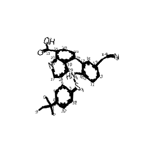 CC(C)(C)c1ccc(SNc2ccc(C#N)cc2-c2ccc(C(=O)O)c3ncccc23)cc1